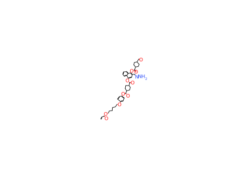 C=CC(=O)OCCCCCCOc1ccc(OC(=O)C2CCC(C(=O)Oc3cc(/C=N/N)c(OC(=O)C4CCC(C=O)CC4)c4ccccc34)CC2)cc1